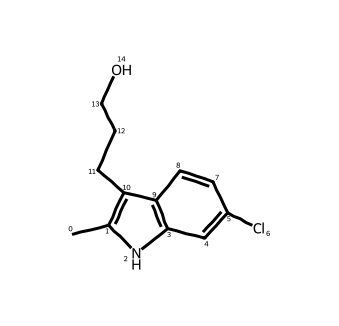 Cc1[nH]c2cc(Cl)ccc2c1CCCO